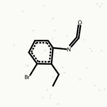 CCc1c(Br)cccc1N=C=O